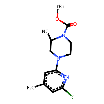 CC(C)(C)OC(=O)N1CCN(c2cc(C(F)(F)F)cc(Cl)n2)CC1C#N